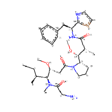 CC[C@H](C)[C@@H]([C@@H](CC(=O)N1CCC[C@H]1[C@H](OC)[C@@H](C)C(=O)N[C@@H](Cc1ccccc1)c1nccs1)OC)N(C)C(=O)CN